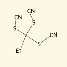 CCC(SC#N)(SC#N)SC#N